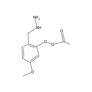 COc1ccc(CNN)c(OOC(C)=O)c1